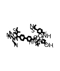 Cc1ncsc1-c1ccc([C@H](C)NC(=O)[C@@H]2C[C@@H](O)CN2C(=O)[C@@H](NC(=O)c2ccc(-c3ccc(C4=N[C@@H](CC#N)c5nnc(C)n5-c5sc(C)c(C)c54)cc3)cc2)C(C)(C)C)cc1